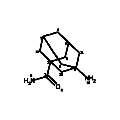 NC(=O)C12[CH]C3CC(CC(N)(C3)C1)C2